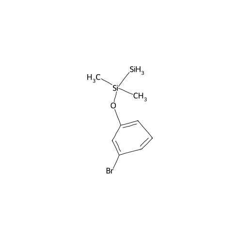 C[Si](C)([SiH3])Oc1cccc(Br)c1